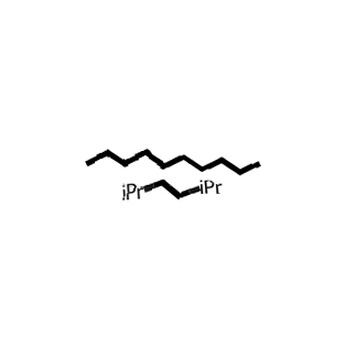 CC(C)CCC(C)C.CCCCCCCCCC